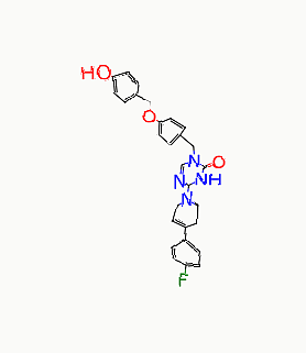 O=C1NC(N2CC=C(c3ccc(F)cc3)CC2)N=CN1Cc1ccc(OCc2ccc(O)cc2)cc1